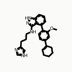 COc1cc(C2=CCCCC2)ccc1-c1cccc2[nH]nc(NCCCc3c[nH]cn3)c12